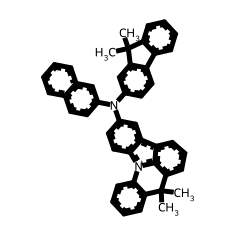 CC1(C)c2ccccc2-c2ccc(N(c3ccc4ccccc4c3)c3ccc4c(c3)c3cccc5c3n4-c3ccccc3C5(C)C)cc21